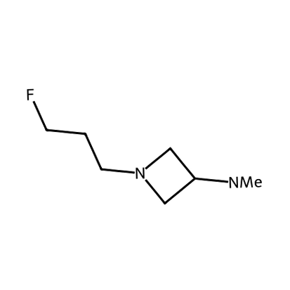 CNC1CN(CCCF)C1